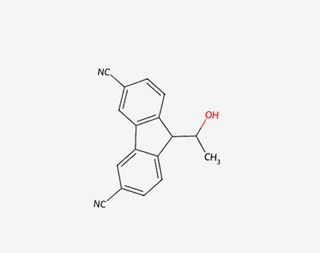 CC(O)C1c2ccc(C#N)cc2-c2cc(C#N)ccc21